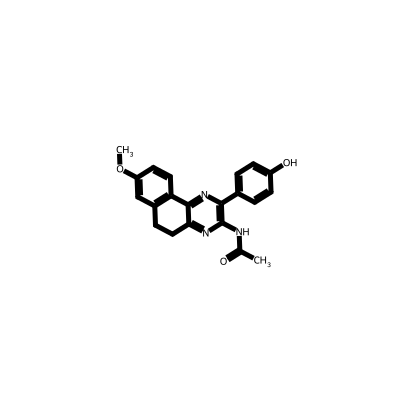 COc1ccc2c(c1)CCc1nc(NC(C)=O)c(-c3ccc(O)cc3)nc1-2